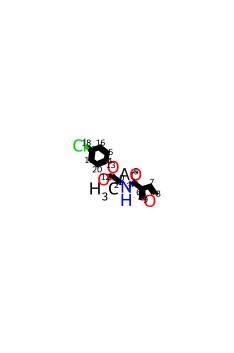 CC(=O)C(C)(NC(=O)c1ccoc1)C(=O)Oc1ccc(Cl)cc1